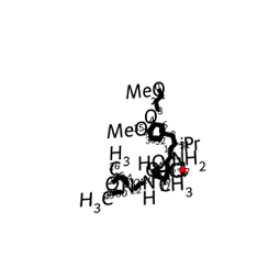 COCCCOc1cc(C[C@@H](C[C@H](N)[C@@H](O)C[C@@H](C)C(=O)NCCN2C[C@H](C)O[C@@H](C)C2)C(C)C)ccc1OC.Cl.Cl